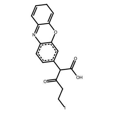 O=C(O)C(C(=O)CCI)c1ccc2c(c1)OC1=CCC=CC1=N2